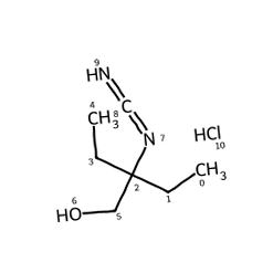 CCC(CC)(CO)N=C=N.Cl